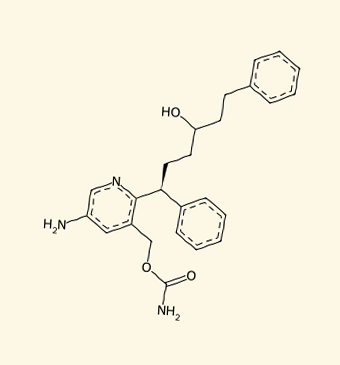 NC(=O)OCc1cc(N)cnc1[C@@H](CCC(O)CCc1ccccc1)c1ccccc1